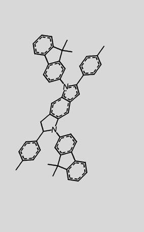 Cc1ccc(-c2cc3cc4c(cc3n2-c2ccc3c(c2)C(C)(C)c2ccccc2-3)CC(c2ccc(C)cc2)N4c2ccc3c(c2)C(C)(C)c2ccccc2-3)cc1